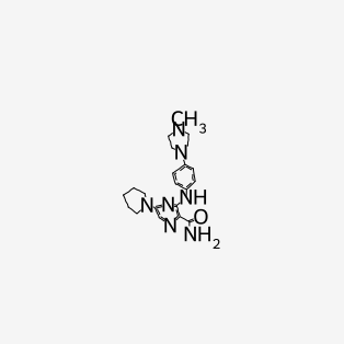 CN1CCN(c2ccc(Nc3nc(N4CCCCC4)cnc3C(N)=O)cc2)CC1